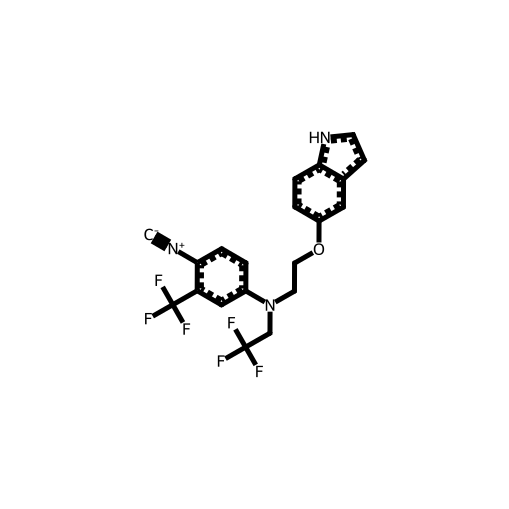 [C-]#[N+]c1ccc(N(CCOc2ccc3[nH]ccc3c2)CC(F)(F)F)cc1C(F)(F)F